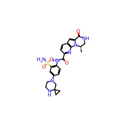 C[C@@H]1CNC(=O)c2cc3ccc(C(=O)Nc4ccc(N5CCNC6(CC6)C5)cc4S(N)(=O)=O)nc3n21